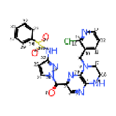 O=C(c1cnc2c(n1)N(Cc1cccnc1Cl)CCN2)n1ccc(NS(=O)(=O)c2ccccc2)n1